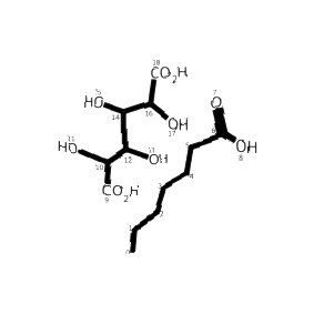 CCCCCCC(=O)O.O=C(O)C(O)C(O)C(O)C(O)C(=O)O